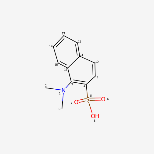 CN(C)c1c(S(=O)(=O)O)ccc2ccccc12